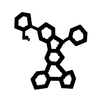 O=[N+]([O-])c1ccccc1-c1ccc2c(c1)c1cc3c4ccccc4c4ccccc4c3cc1n2-c1ccccc1